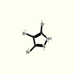 Brc1n[nH]c(Br)c1Br